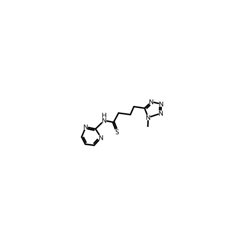 Cn1nnnc1CCCC(=S)Nc1ncccn1